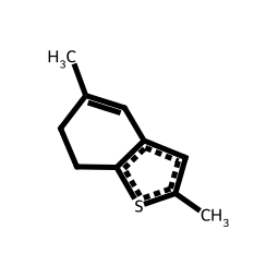 CC1=Cc2cc(C)sc2CC1